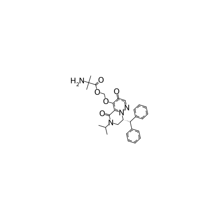 CC(C)N1C[C@@H](C(c2ccccc2)c2ccccc2)n2ncc(=O)c(OCOC(=O)C(C)(C)N)c2C1=O